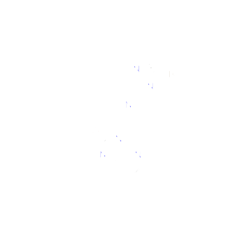 Cn1c(Br)cnc1CN1CCC(n2c(=O)n(-c3ccccc3)c3cccnc32)C1